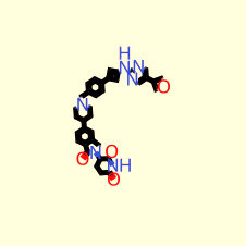 O=C1CCC(N2Cc3cc(C4CCN(Cc5ccc(C67CC(Nc8ncc(C9COC9)cn8)(C6)C7)cc5)CC4)ccc3C2=O)C(=O)N1